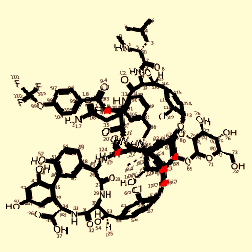 CN[C@H](CC(C)C)C(=O)NC1C(=O)N[C@@H](CC(N)=O)C(=O)N[C@H]2C(=O)N[C@H]3C(=O)NC(C(=O)N[C@@H](C(=O)O)c4cc(O)cc(O)c4-c4cc3ccc4O)[C@H](O)c3ccc(c(Cl)c3)Oc3cc2cc(c3OC2O[C@H](CO)[C@@H](O)[C@H](O)[C@H]2OC2C[C@](C)(NCc3cccc(NC(=O)c4ccc(OC(F)(F)F)cc4)c3)[C@H](O)[C@H](C)O2)Oc2ccc(cc2Cl)[C@H]1O